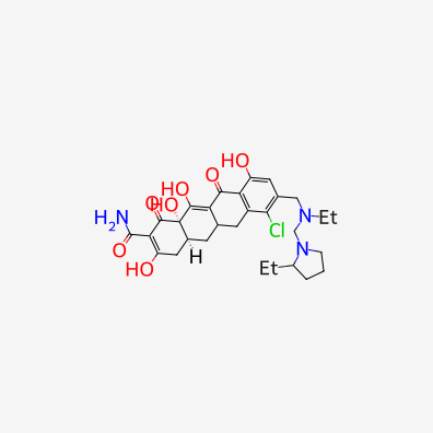 CCC1CCCN1CN(CC)Cc1cc(O)c2c(c1Cl)CC1C[C@H]3CC(O)=C(C(N)=O)C(=O)[C@@]3(O)C(O)=C1C2=O